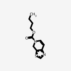 CCCCOC(=O)N1C=Cc2ncsc2C1